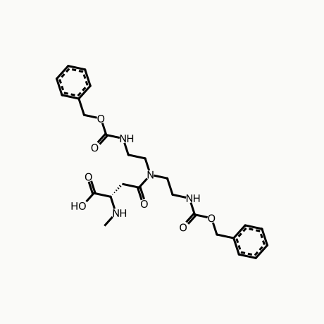 CN[C@@H](CC(=O)N(CCNC(=O)OCc1ccccc1)CCNC(=O)OCc1ccccc1)C(=O)O